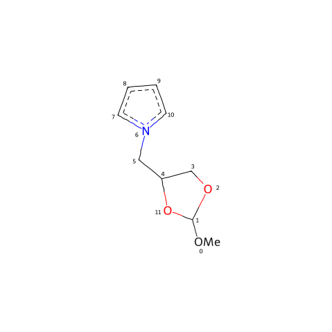 COC1OCC(Cn2cccc2)O1